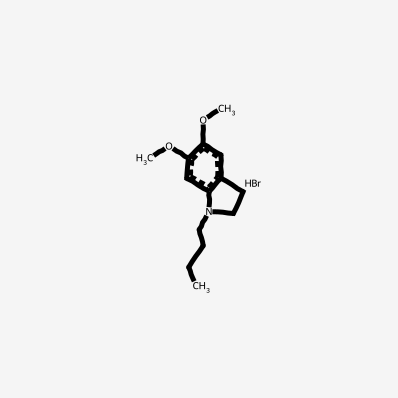 Br.CCCCN1CCc2cc(OC)c(OC)cc21